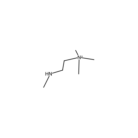 CNCC[N+](C)(C)C